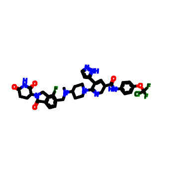 CN(Cc1ccc2c(c1F)CN(C1CCC(=O)NC1=O)C2=O)C1CCN(C2=NCC(C(=O)Nc3ccc(OC(F)(F)Cl)cc3)C=C2c2ccn[nH]2)CC1